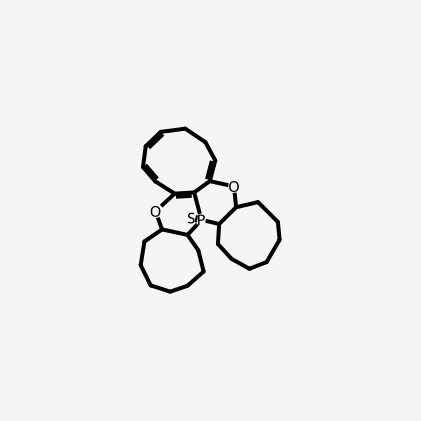 S=P12C3=C(/C=C\C=C/CC/C=C3/OC3CCCCCCCC31)OC1CCCCCCCC12